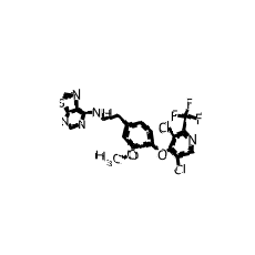 COc1cc(CCNc2ncnc3scnc23)ccc1Oc1c(Cl)cnc(C(F)(F)F)c1Cl